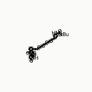 CC(C)(C)OC(=O)NC1CCN(CCOCCOCCOCCOCC#Cc2cccc3c2C(=O)N(C2CCC(=O)NC2=O)C3=O)CC1